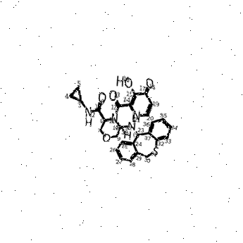 O=C(NC1CC1)C1COC[C@@H]2N1C(=O)c1c(O)c(=O)ccn1N2[C@H]1c2ccccc2CSc2ccccc21